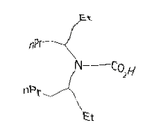 CCCC(CC)N(C(=O)O)C(CC)CCC